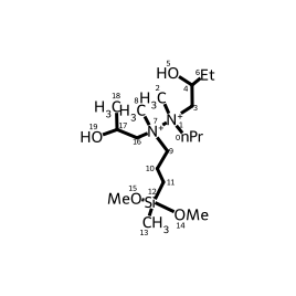 CCC[N+](C)(CC(O)CC)[N+](C)(CCC[Si](C)(OC)OC)CC(C)O